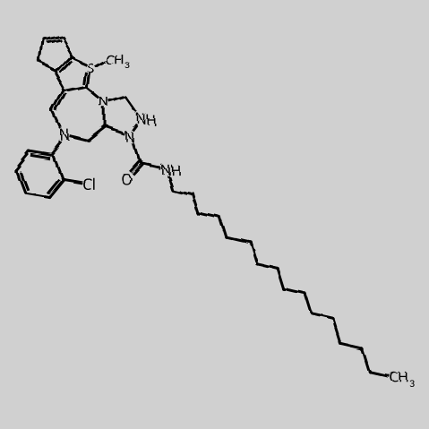 CCCCCCCCCCCCCCCCNC(=O)N1NCN2C3=S(C)C4=C(CC=C4)C3=CN(c3ccccc3Cl)CC21